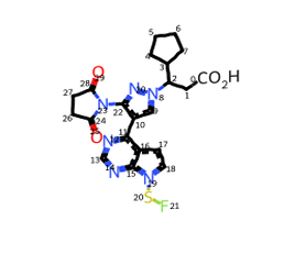 O=C(O)CC(C1CCCC1)n1cc(-c2ncnc3c2ccn3SF)c(N2C(=O)CCC2=O)n1